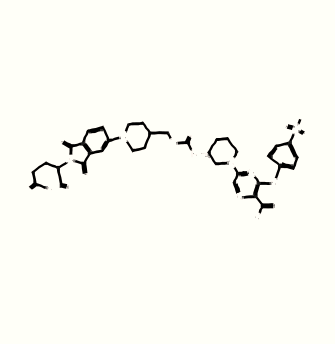 CS(=O)(=O)c1ccc(Nc2nc(N3CCC[C@@H](NC(=O)OCC4CCN(c5ccc6c(c5)C(=O)N(C5CCC(=O)NC5=O)C6=O)CC4)C3)cnc2C(N)=O)cc1